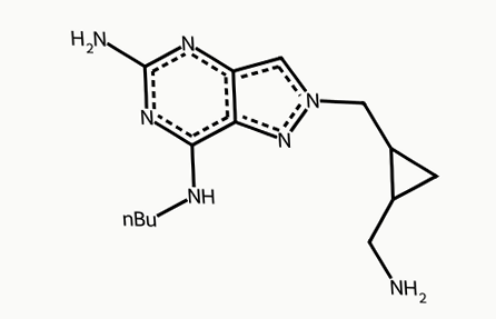 CCCCNc1nc(N)nc2cn(CC3CC3CN)nc12